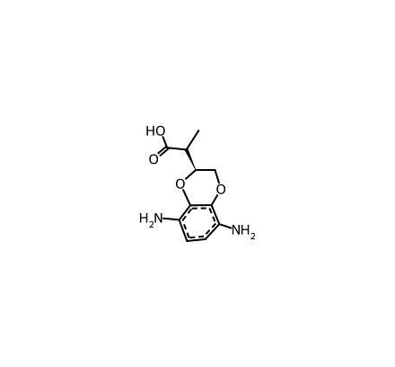 CC(C(=O)O)[C@H]1COc2c(N)ccc(N)c2O1